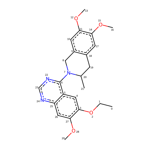 CCOc1cc2c(N3Cc4cc(OC)c(OC)cc4CC3C)ncnc2cc1OC